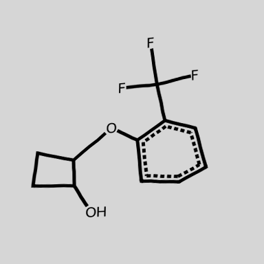 OC1CCC1Oc1ccccc1C(F)(F)F